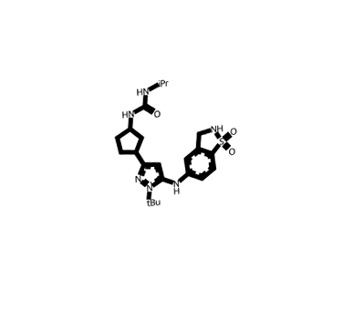 CC(C)NC(=O)NC1CCC(c2cc(Nc3ccc4c(c3)CNS4(=O)=O)n(C(C)(C)C)n2)C1